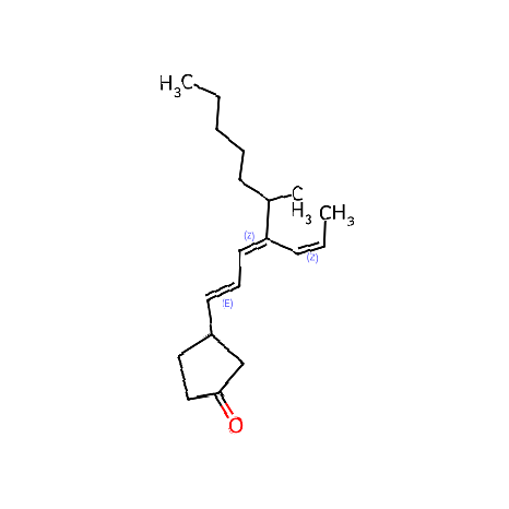 C\C=C/C(=C\C=C\C1CCC(=O)C1)C(C)CCCCC